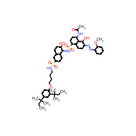 CCC(C)(C)c1ccc(OCCCCNS(=O)(=O)c2ccc3c(NS(=O)(=O)c4ccc(NC(C)=O)c5c(O)c(N=Nc6ccccc6OC)ccc45)c(O)ccc3c2)c(C(C)(C)CC)c1